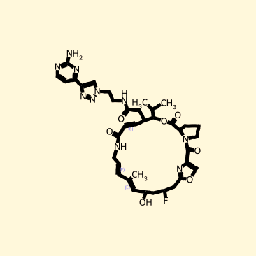 CC1=C\C(O)CC(F)Cc2nc(co2)C(=O)N2CCCC2C(=O)OC(C(C)C)C(CC(=O)NCCn2cc(-c3ccnc(N)n3)nn2)/C=C/C(=O)NC\C=C\1